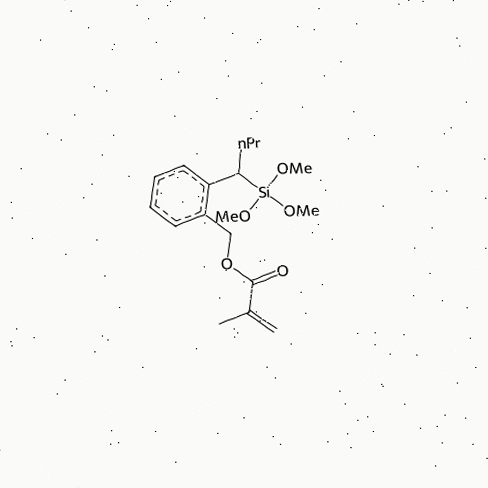 C=C(C)C(=O)OCc1ccccc1C(CCC)[Si](OC)(OC)OC